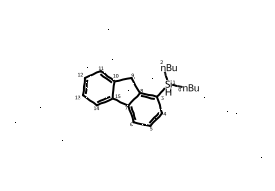 CCCC[SiH](CCCC)c1cccc2c1[CH]c1ccccc1-2